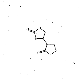 O=C1[N]C(N2CCSC2=O)CO1